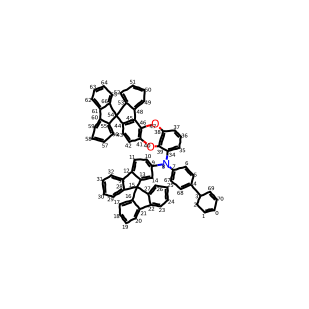 C1=CCC(c2ccc(N(c3ccc4c(c3)C3(c5ccccc5-c5ccccc53)c3ccccc3-4)c3cccc4c3Oc3ccc5c(c3O4)-c3ccccc3C53c4ccccc4-c4ccccc43)cc2)C=C1